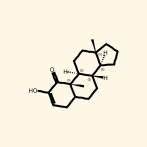 C[C@@]12CCC[C@H]1[C@@H]1CCC3CC=C(O)C(=O)[C@]3(C)[C@H]1CC2